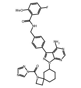 COc1ccc(F)cc1C(=O)NCc1ccc(-c2nn(C3CCCC4(CCN4C(=O)n4cncn4)C3)c3ncnc(N)c23)cc1